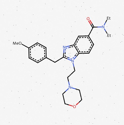 CCN(CC)C(=O)c1ccc2c(c1)nc(Cc1ccc(OC)cc1)n2CCN1CCOCC1